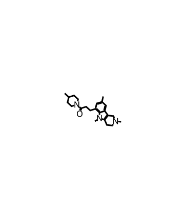 Cc1cc(CCC(=O)N2CCC(C)CC2)c2c(c1)c1c(n2C)CCN(C)C1